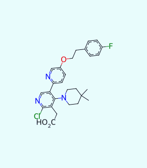 CC1(C)CCN(c2c(-c3ccc(OCCc4ccc(F)cc4)cn3)cnc(Cl)c2CC(=O)O)CC1